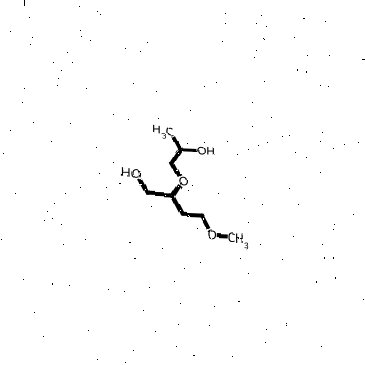 COCCC(CO)OCC(C)O